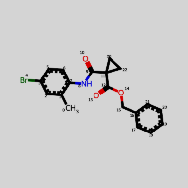 Cc1cc(Br)ccc1NC(=O)C1(C(=O)OCc2ccccc2)CC1